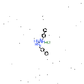 Cl.N=C(NN=Cc1ccc(-c2ccccc2)cc1)NN=Cc1ccc(-c2ccccc2)cc1